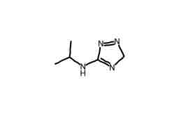 CC(C)NC1=NCN=N1